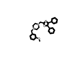 COc1cccc(CN2CCN(Cc3nc(-c4ccccc4)c(-c4ccccc4)o3)CC2)c1